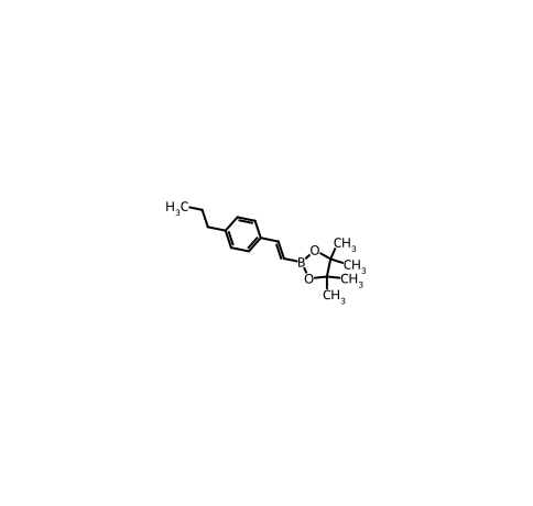 CCCc1ccc(C=CB2OC(C)(C)C(C)(C)O2)cc1